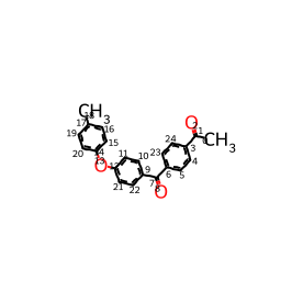 CC(=O)c1ccc(C(=O)c2ccc(Oc3ccc(C)cc3)cc2)cc1